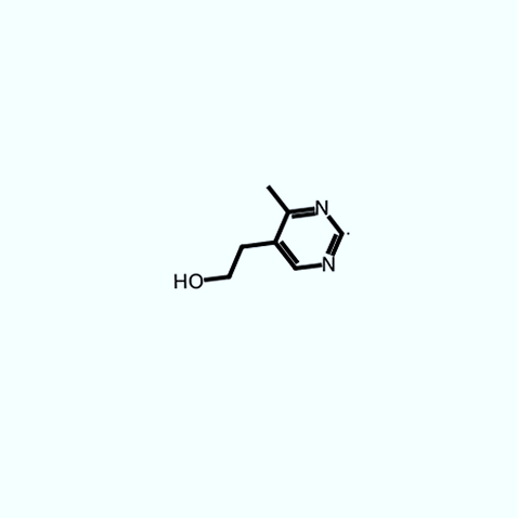 Cc1n[c]ncc1CCO